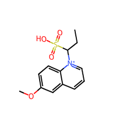 CCC([n+]1cccc2cc(OC)ccc21)S(=O)(=O)O